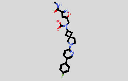 CNC(=O)c1cc(CN(C(=O)O)C2CC3(CCN(c4ccc(-c5ccc(F)cc5)cn4)C3)C2)on1